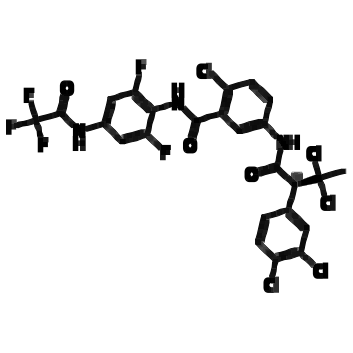 CC(Cl)(Cl)[C@H](C(=O)Nc1ccc(Cl)c(C(=O)Nc2c(F)cc(NC(=O)C(F)(F)F)cc2F)c1)c1ccc(Cl)c(Cl)c1